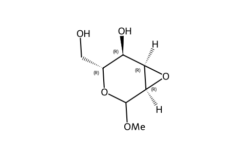 COC1O[C@H](CO)[C@@H](O)[C@H]2O[C@@H]12